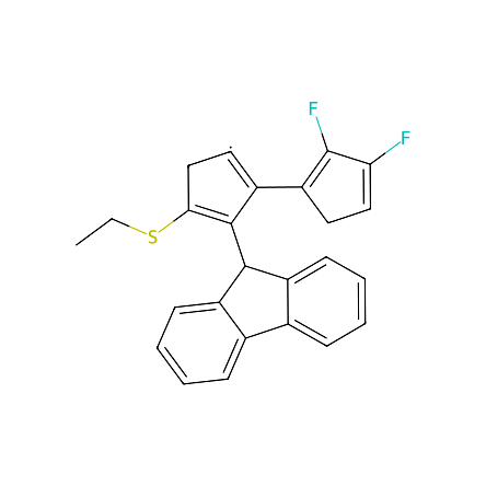 CCSC1=C(C2c3ccccc3-c3ccccc32)C(C2=C(F)C(F)=CC2)=[C]C1